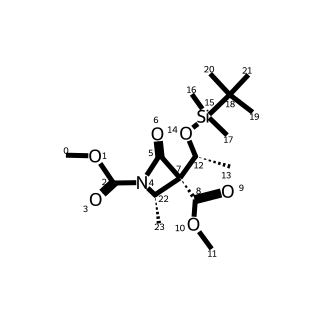 COC(=O)N1C(=O)[C@@](C(=O)OC)([C@@H](C)O[Si](C)(C)C(C)(C)C)[C@@H]1C